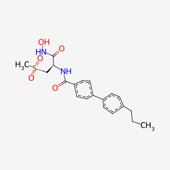 CCCc1ccc(-c2ccc(C(=O)N[C@@H](CS(C)(=O)=O)C(=O)NO)cc2)cc1